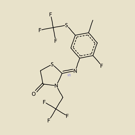 Cc1cc(F)c(/N=C2\SCC(=O)N2CC(F)(F)F)cc1SC(F)(F)F